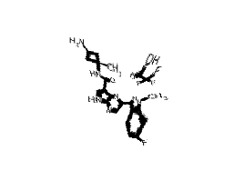 Cn1nc(-c2cnc3[nH]cc(C(=O)N[C@]4(C)C[C@@H](N)C4)c3n2)c2ccc(F)cc21.O=C(O)C(F)(F)F